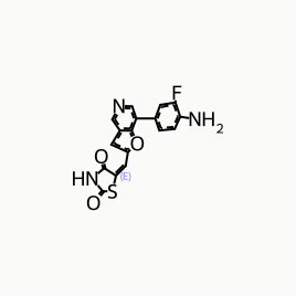 Nc1ccc(-c2cncc3cc(/C=C4/SC(=O)NC4=O)oc23)cc1F